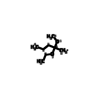 [CH2]C(CCC)(OC)OCC